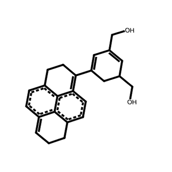 OCC1=CC(CO)CC(C2=c3ccc4c5c(ccc(c35)CC2)=CCC4)=C1